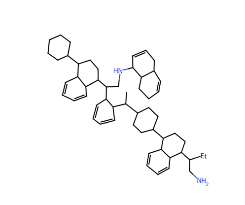 CCC(CN)C1CCC(C2CCC(C(C)C3C=CC=CC3C(CNC3C=CCC4C=CCCC43)C3CCC(C4CCCCC4)C4C=CC=CC43)CC2)C2C=CC=CC21